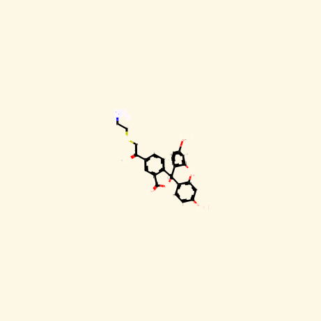 NCCSCC(=O)c1ccc2c(c1)C(=O)OC21c2ccc(O)cc2Oc2cc(O)ccc21